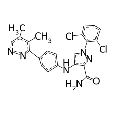 Cc1cnnc(-c2ccc(Nc3cn(-c4c(Cl)cccc4Cl)nc3C(N)=O)cc2)c1C